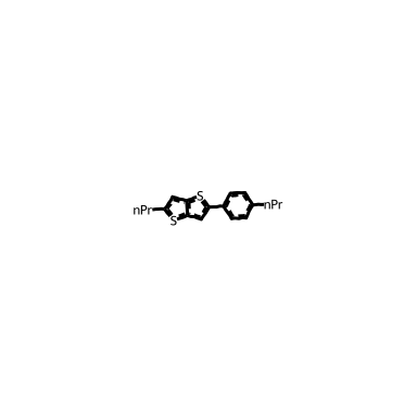 CCCc1ccc(-c2cc3sc(CCC)cc3s2)cc1